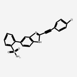 NS(=O)(=O)c1ccccc1-c1ccc2[nH]c(C#Cc3ccc(Cl)cc3)nc2c1